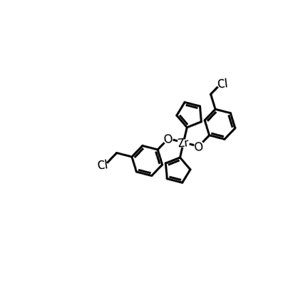 ClCc1cccc([O][Zr]([O]c2cccc(CCl)c2)([C]2=CC=CC2)[C]2=CC=CC2)c1